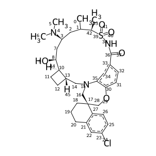 CC1C[C@H](N(C)C)C[C@H](O)[C@@H]2CC[C@H]2CN2C[C@@]3(CCCc4cc(Cl)ccc43)COc3ccc(cc32)C(=O)NS(=O)(=O)[C@@H]1C